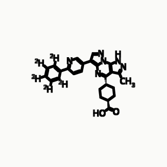 [2H]c1c([2H])c([2H])c(-c2ccc(-c3cnn4c3nc([C@H]3CC[C@H](C(=O)O)CC3)c3c(C)n[nH]c34)cn2)c([2H])c1[2H]